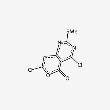 CSc1nc(Cl)c2c(=O)oc(Cl)cc2n1